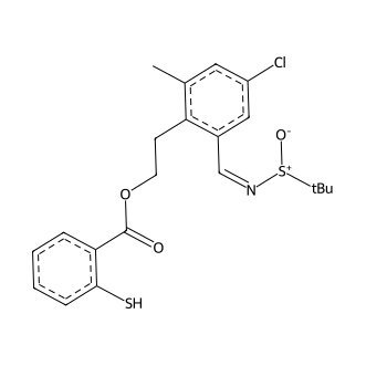 Cc1cc(Cl)cc(/C=N\[S+]([O-])C(C)(C)C)c1CCOC(=O)c1ccccc1S